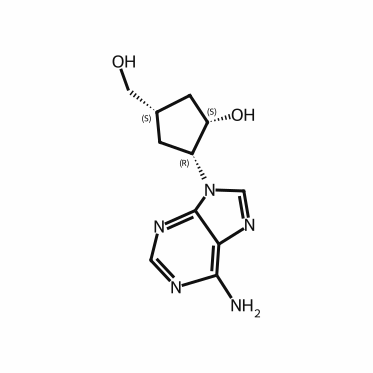 Nc1ncnc2c1ncn2[C@@H]1C[C@H](CO)C[C@@H]1O